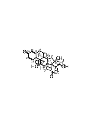 CCC(=O)O[C@@]1(C(=O)CO)C(C)(C)C[C@H]2[C@@H]3CCC4=CC(=O)C=C[C@]4(C)[C@@]3(F)[C@@H](O)C[C@@]21C